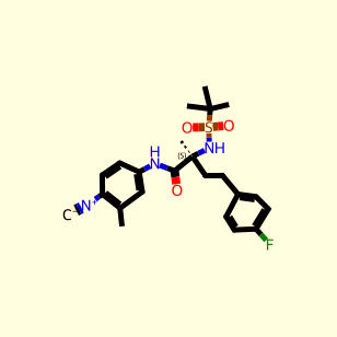 [C-]#[N+]c1ccc(NC(=O)[C@](C)(CCc2ccc(F)cc2)NS(=O)(=O)C(C)(C)C)cc1C